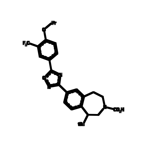 CC(C)Oc1ccc(-c2nc(-c3ccc4c(c3)CCN(C(=O)O)CC4C(C)(C)C)no2)cc1C(F)(F)F